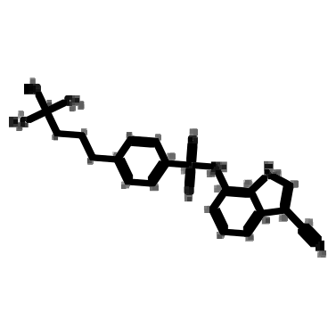 CC(C)(O)CCCc1ccc(S(=O)(=O)Nc2cccc3c(C#N)c[nH]c23)cc1